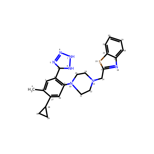 Cc1cc(C2N=NNN2)c(N2CCN(Cc3nc4ccccc4s3)CC2)cc1C1CC1